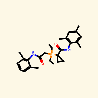 CC[PH](CC)(CC(=O)Nc1c(C)cccc1C)C1(C(=O)Nc2c(C)cc(C)cc2C)CC1